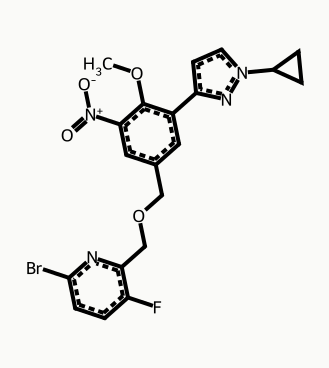 COc1c(-c2ccn(C3CC3)n2)cc(COCc2nc(Br)ccc2F)cc1[N+](=O)[O-]